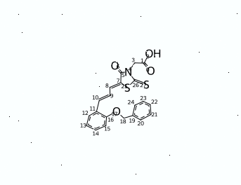 O=C(O)CN1C(=O)C(=CC=Cc2ccccc2OCc2ccccc2)SC1=S